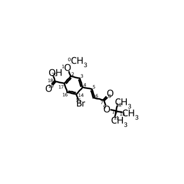 COc1cc(/C=C/C(=O)OC(C)(C)C)c(Br)cc1C(=O)O